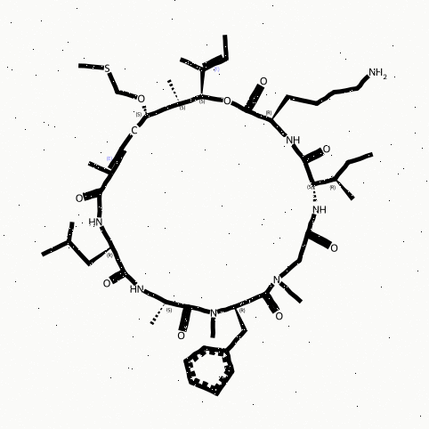 C/C=C(\C)[C@H]1OC(=O)[C@@H](CCCCN)NC(=O)[C@H]([C@H](C)CC)NC(=O)CN(C)C(=O)[C@@H](Cc2ccccc2)N(C)C(=O)[C@H](C)NC(=O)[C@@H](CC(C)C)NC(=O)/C(C)=C/C[C@H](OCSC)[C@@H]1C